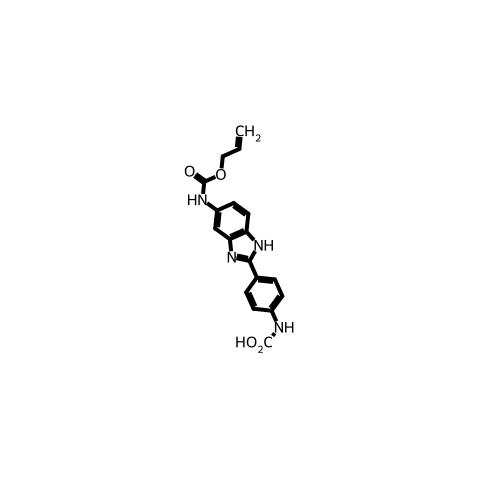 C=CCOC(=O)Nc1ccc2[nH]c(-c3ccc(NC(=O)O)cc3)nc2c1